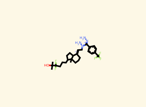 CC12CCC/C(=C\CN(N)/C(=N\N)c3ccc(C(F)(F)F)cc3)C1CCC2CCCC(F)(F)C(C)(C)O